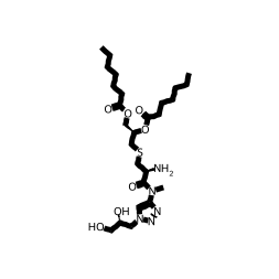 CCCCCCC(=O)OC[C@H](CSC[C@@H](N)C(=O)N(C)c1cn(C[C@@H](O)CO)nn1)OC(=O)CCCCCC